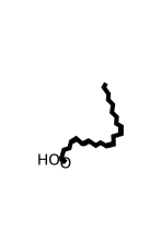 CCCCCCCC/C=C\C/C=C\CC/C=C/C=C\CCC(=O)O